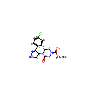 CC(C)(C)OC(=O)N1CCN(C2CNN=C2c2ccc(Cl)cc2)C(=O)C1